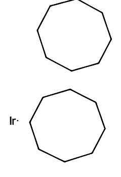 C1CCCCCCC1.C1CCCCCCC1.[Ir]